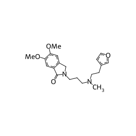 COc1cc2c(cc1OC)C(=O)N(CCCN(C)CCc1ccoc1)C2